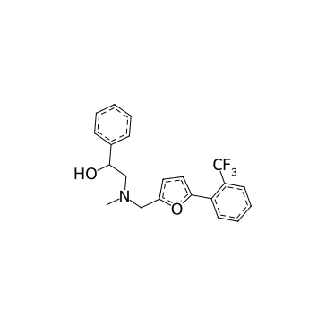 CN(Cc1ccc(-c2ccccc2C(F)(F)F)o1)CC(O)c1ccccc1